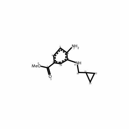 COC(=O)c1ccc(N)c(NCC2CC2)c1